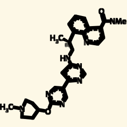 CNC(=O)c1ccnc2c([C@H](C)CNc3cc(-c4cnc(OC5CCN(C)CC5)nc4)ncn3)cccc12